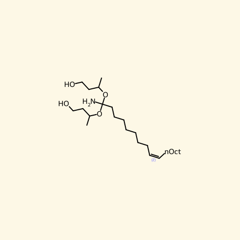 CCCCCCCC/C=C\CCCCCCCC(N)(OC(C)CCO)OC(C)CCO